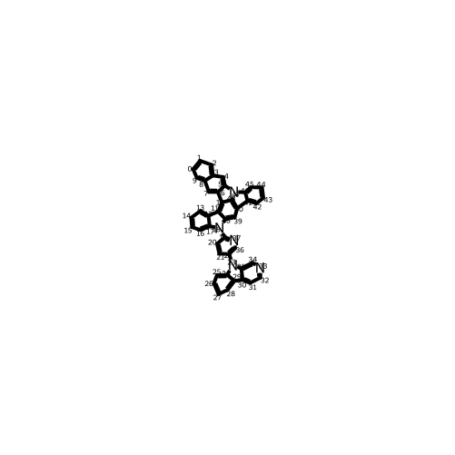 c1ccc2cc3c(cc2c1)c1c2c4ccccc4n(-c4ccc(-n5c6ccccc6c6ccncc65)cn4)c2cc2c4ccccc4n3c21